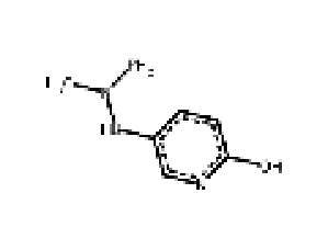 CN(P)Bc1ccc(O)nc1